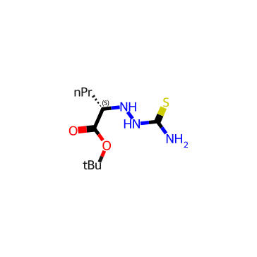 CCC[C@H](NNC(N)=S)C(=O)OC(C)(C)C